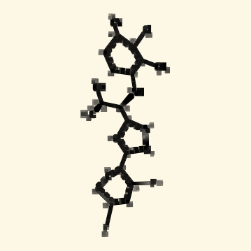 Cc1c(N[C@@H](c2nnc(-c3ccc(F)cc3F)o2)[C@@H](C)O)ccc(C#N)c1Cl